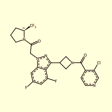 O=C(c1ccncc1Cl)N1CC(c2nn(CC(=O)N3CCC[C@H]3C(F)(F)F)c3cc(F)cc(F)c23)C1